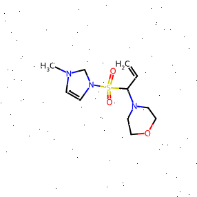 C=CC(N1CCOCC1)S(=O)(=O)N1C=CN(C)C1